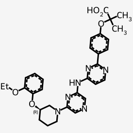 CCOc1ccccc1O[C@@H]1CCCN(c2cncc(Nc3ccnc(-c4ccc(OC(C)(C)C(=O)O)cc4)n3)n2)C1